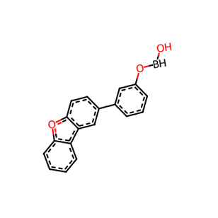 OBOc1cccc(-c2ccc3oc4ccccc4c3c2)c1